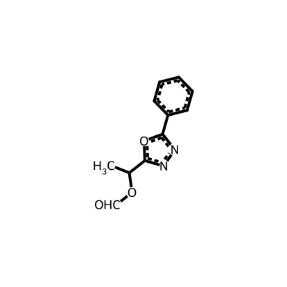 CC(OC=O)c1nnc(-c2ccccc2)o1